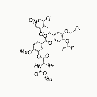 COc1ccc(C(=O)OC(Cc2c(Cl)c[n+]([O-])cc2Cl)c2ccc(OC(F)F)c(OCC3CC3)c2)cc1OC(=O)C(NC(=O)OC(C)(C)C)C(C)C